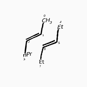 C/C=C/CCC.CC/C=C/CC